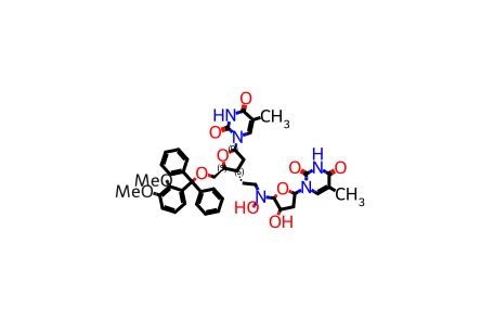 COc1cccc(C(OC[C@H]2O[C@@H](n3cc(C)c(=O)[nH]c3=O)C[C@@H]2CCN(O)C2OC(n3cc(C)c(=O)[nH]c3=O)CC2O)(c2ccccc2)c2ccccc2)c1OC